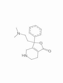 CN(C)CCC1(c2ccccc2)OC(=O)C2=C1CNCC2